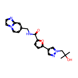 CC(C)(O)Cn1cc(-c2ccc(C(=O)NCc3ccn4ccnc4c3)o2)cn1